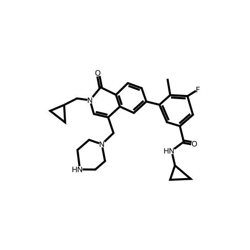 Cc1c(F)cc(C(=O)NC2CC2)cc1-c1ccc2c(=O)n(CC3CC3)cc(CN3CCNCC3)c2c1